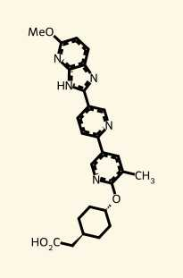 COc1ccc2nc(-c3ccc(-c4cnc(O[C@H]5CC[C@H](CC(=O)O)CC5)c(C)c4)nc3)[nH]c2n1